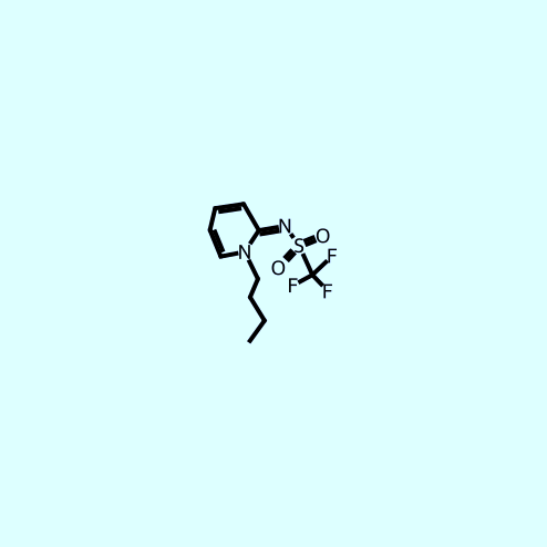 CCCCn1ccccc1=NS(=O)(=O)C(F)(F)F